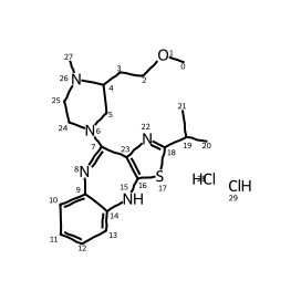 COCCC1CN(C2=Nc3ccccc3Nc3sc(C(C)C)nc32)CCN1C.Cl.Cl